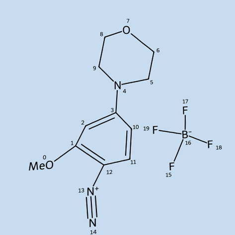 COc1cc(N2CCOCC2)ccc1[N+]#N.F[B-](F)(F)F